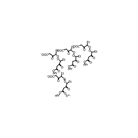 CCCOC(=O)CC(=O)C(CC)OOC(CC)C(=O)CC(=O)[O-].CCCOC(=O)CC(=O)C(CC)OOC(CC)C(=O)CC(=O)[O-].CCCOC(=O)CC(=O)C(CC)OOC(CC)C(=O)CC(=O)[O-].CCCOC(=O)CC(=O)C(CC)OOC(CC)C(=O)CC(=O)[O-].[Ti+4]